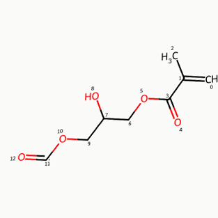 C=C(C)C(=O)OCC(O)CO[C]=O